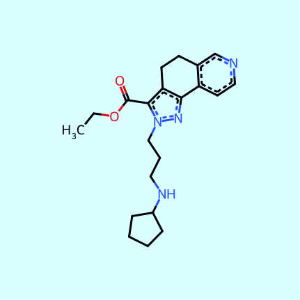 CCOC(=O)c1c2c(nn1CCCNC1CCCC1)-c1ccncc1CC2